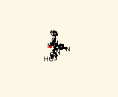 CN1CCC[C@@H](COc2nc(-c3ccc(C#N)cc3)c(-c3ccc(CN(C)C(=O)O)nc3)n3cncc23)C1